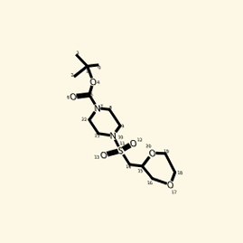 CC(C)(C)OC(=O)N1CCN(S(=O)(=O)CC2COCCO2)CC1